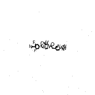 N#Cc1c(F)cc([C@H]2CN3CCN(C(=O)Cc4ccc(-n5cnnn5)nc4)C[C@@H]3CO2)cc1F